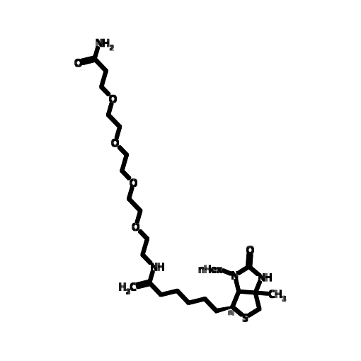 C=C(CCCCC[C@@H]1SCC2(C)NC(=O)N(CCCCCC)C12)NCCOCCOCCOCCOCCC(N)=O